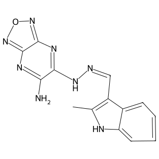 Cc1[nH]c2ccccc2c1/C=N\Nc1nc2nonc2nc1N